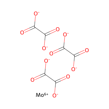 O=C([O-])C(=O)[O-].O=C([O-])C(=O)[O-].O=C([O-])C(=O)[O-].[Mo+6]